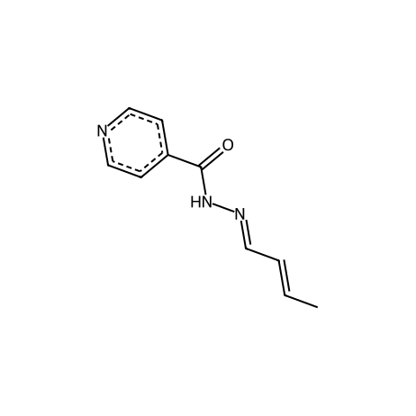 C/C=C/C=N/NC(=O)c1ccncc1